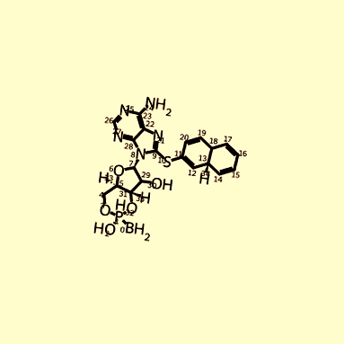 B[PH]1(O)OC[C@H]2O[C@@H](n3c(SC4=C[C@H]5C=CC=CC5C=C4)nc4c(N)ncnc43)C(O)[C@@H]2O1